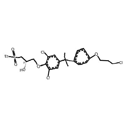 CCS(=O)(=O)C[C@@H](O)COc1c(Cl)cc(C(C)(C)c2ccc(OCCCCl)cc2)cc1Cl